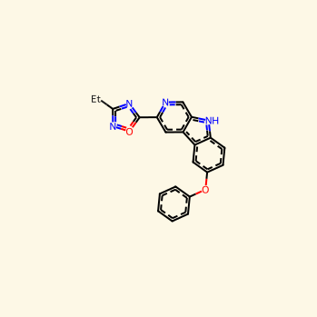 CCc1noc(-c2cc3c(cn2)[nH]c2ccc(Oc4ccccc4)cc23)n1